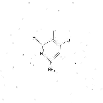 CCc1cc(N)nc(Cl)c1C